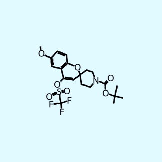 COc1ccc2c(c1)C(OS(=O)(=O)C(F)(F)F)=CC1(CCN(C(=O)OC(C)(C)C)CC1)O2